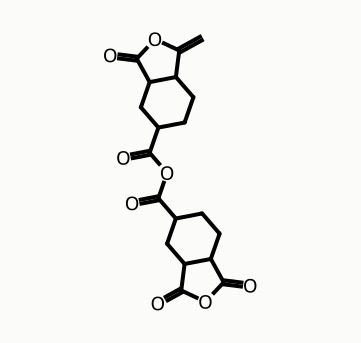 C=C1OC(=O)C2CC(C(=O)OC(=O)C3CCC4C(=O)OC(=O)C4C3)CCC12